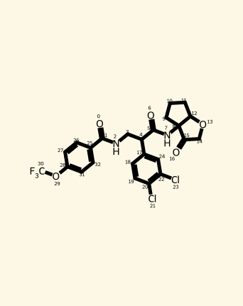 O=C(NCC(C(=O)NC12CCCC1OCC2=O)c1ccc(Cl)c(Cl)c1)c1ccc(OC(F)(F)F)cc1